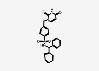 O=c1ccn(Cc2ccc(S(=O)(=O)NC(c3ccccc3)c3ccccc3)cc2)c(=O)[nH]1